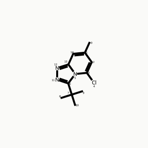 Cc1cc(Cl)n2c(C(C)(C)C)nnc2c1